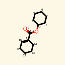 O=C(OC1CCCCC1)C1=CCCCC1